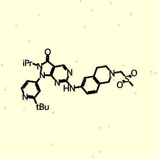 CC(C)n1c(=O)c2cnc(Nc3ccc4c(c3)CCN(CS(C)(=O)=O)C4)nc2n1-c1ccnc(C(C)(C)C)c1